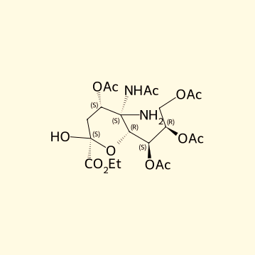 CCOC(=O)[C@]1(O)C[C@H](OC(C)=O)[C@](N)(NC(C)=O)[C@H]([C@H](OC(C)=O)[C@@H](COC(C)=O)OC(C)=O)O1